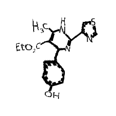 CCOC(=O)C1=C(C)NC(c2cscn2)=NC1c1ccc(O)cc1